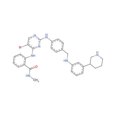 CNC(=O)c1ccccc1Nc1nc(Nc2ccc(CNc3cccc(C4CCCNC4)c3)cc2)ncc1Br